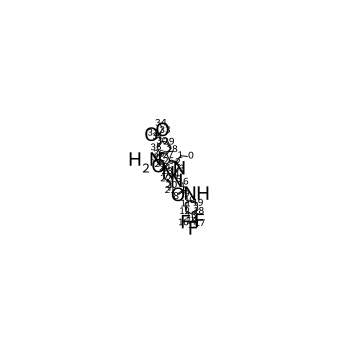 CCc1nc2n(CC(=O)Nc3ccc(C(F)(F)F)cc3)c(C)cn2c(=O)c1-c1ccc(C(=O)OC)cc1N